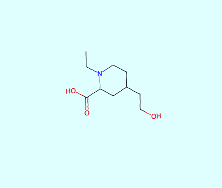 CCN1CCC(CCO)CC1C(=O)O